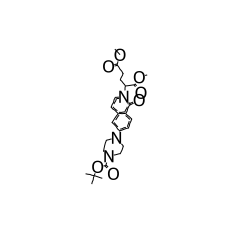 COC(=O)CCC(C(=O)OC)n1ccc2cc(N3CCN(C(=O)OC(C)(C)C)CC3)ccc2c1=O